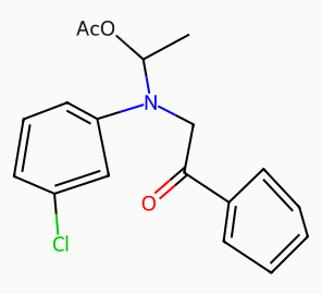 CC(=O)OC(C)N(CC(=O)c1ccccc1)c1cccc(Cl)c1